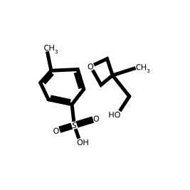 CC1(CO)COC1.Cc1ccc(S(=O)(=O)O)cc1